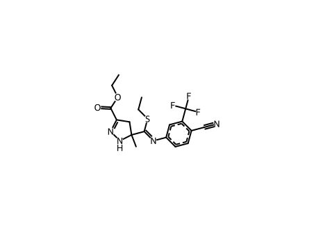 CCOC(=O)C1=NNC(C)(C(=Nc2ccc(C#N)c(C(F)(F)F)c2)SCC)C1